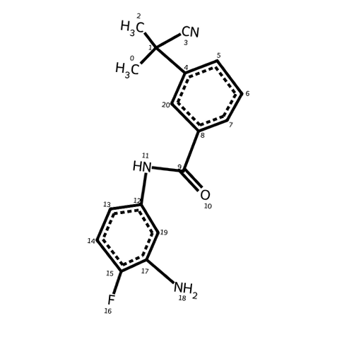 CC(C)(C#N)c1cccc(C(=O)Nc2ccc(F)c(N)c2)c1